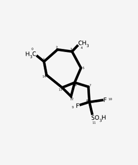 CC1CC(C)CC2(CC(F)(F)S(=O)(=O)O)CC2C1